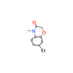 CCc1ccc2c(c1)OCC(=O)N2C